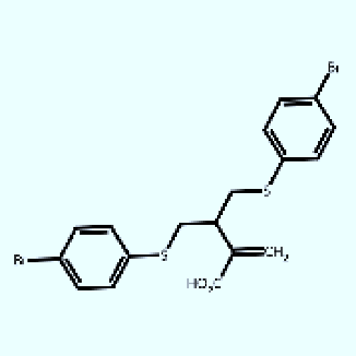 C=C(C(=O)O)C(CSc1ccc(Br)cc1)CSc1ccc(Br)cc1